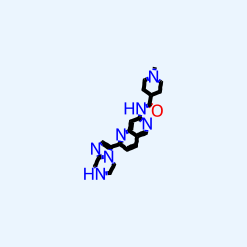 CN1CCC(C(=O)Nc2cc3nc(-c4cnc5n4CCNC5)ccc3cn2)CC1